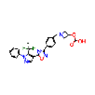 O=C(O)OC1CN(Cc2ccc(-c3noc(-c4cnn(-c5ccccc5)c4C(F)(F)F)n3)cc2)C1